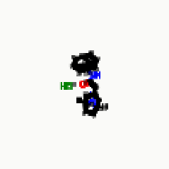 Cl.O=C(C[C@H]1C[C@H]2CC[C@@H](C1)N2)NC12CC3CC(CC(C3)C1)C2